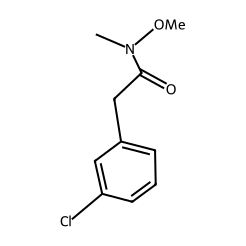 CON(C)C(=O)Cc1cccc(Cl)c1